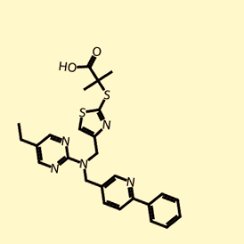 CCc1cnc(N(Cc2ccc(-c3ccccc3)nc2)Cc2csc(SC(C)(C)C(=O)O)n2)nc1